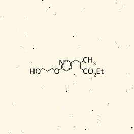 CCOC(=O)CC(C)Cc1ccc(OCCCO)nc1